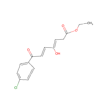 CCOC(=O)C/C=C(O)/C=C/C(=O)c1ccc(Cl)cc1